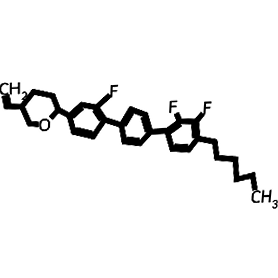 C=CC1CCC(c2ccc(-c3ccc(-c4ccc(CCCCCC)c(F)c4F)cc3)c(F)c2)OC1